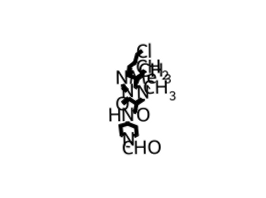 C=C(/C=C\C(=C/C)CN(C)/C=C(\C(=O)/N=C/NC)C(=O)NC1CCN(C=O)CC1)CCl